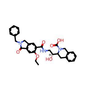 CCOc1cc2c(cc1C(=O)NC[C@@H](O)C1Cc3ccccc3CN1C(=O)O)CN(Cc1ccccc1)C2=O